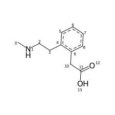 CNCCc1ccccc1CC(=O)O